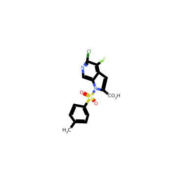 Cc1ccc(S(=O)(=O)n2c(C(=O)O)cc3c(F)c(Cl)ncc32)cc1